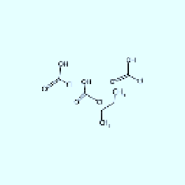 CCCC.O=C(O)Cl.O=C(O)Cl.O=C(O)Cl